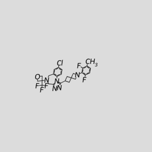 Cc1ccc(F)c(N2CC3(CC(c4nnc5n4-c4ccc(Cl)cc4CN(C4(C(F)(F)F)COC4)C5)C3)C2)c1F